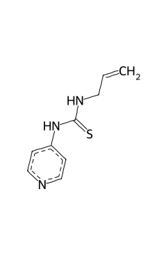 C=CCNC(=S)Nc1ccncc1